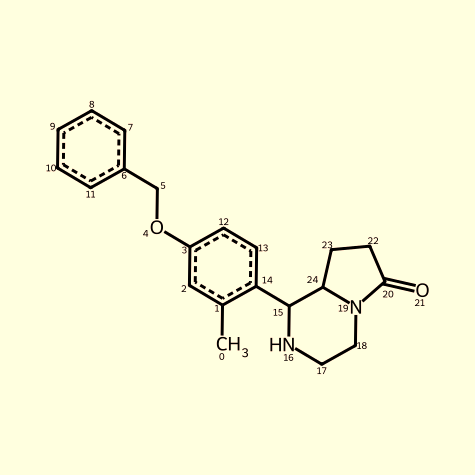 Cc1cc(OCc2ccccc2)ccc1C1NCCN2C(=O)CCC12